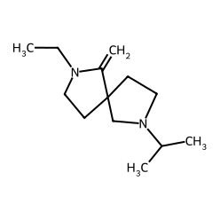 C=C1N(CC)CCC12CCN(C(C)C)C2